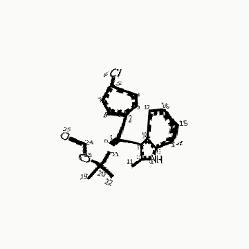 C=C(c1ccc(Cl)cc1)c1c(C)[nH]c2ccccc12.CC(C)(C)OC=O